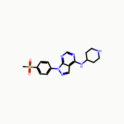 CS(=O)(=O)c1ccc(-n2ncc3c(NC4CCNCC4)ncnc32)cc1